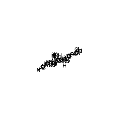 N#Cc1ccc(-c2ccc(CC(NC(=O)[C@@H]3Cc4cc5c(cc4CN3Cc3ncc[nH]3)O[C@@H](c3ccc(OCc4ccc(Cl)c(Cl)c4)cc3)C(=O)N5)C(=O)O)cc2)cc1